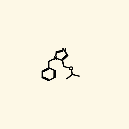 CC(C)OCc1cncn1Cc1ccccc1